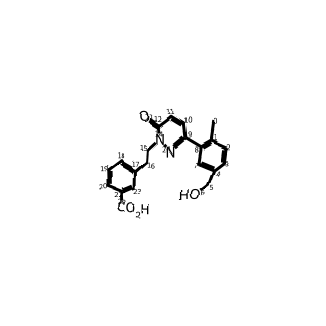 Cc1ccc(CO)cc1-c1ccc(=O)n(CCc2cccc(C(=O)O)c2)n1